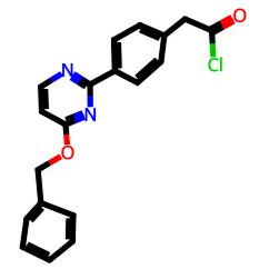 O=C(Cl)Cc1ccc(-c2nccc(OCc3ccccc3)n2)cc1